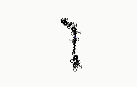 O=C(/C=C/C(=O)Nc1ccc(NC(=O)Nc2ccc3cc[nH]c3c2)cc1)NCCCCCCCOc1ccc2c(c1)C(=O)N(C1CCC(=O)NC1=O)C2=O